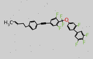 C/C=C/CCc1ccc(C#Cc2cc(F)c(C(F)(F)Oc3ccc(-c4cc(F)c(F)c(F)c4)c(F)c3)c(F)c2)cc1